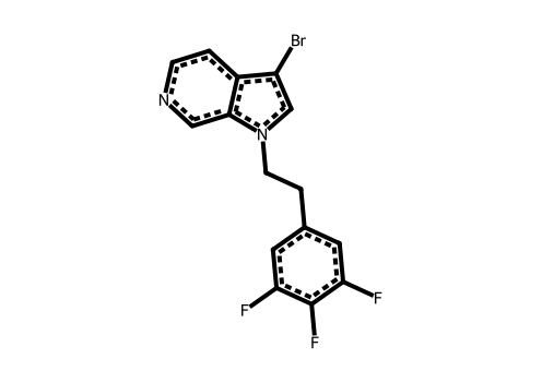 Fc1cc(CCn2cc(Br)c3ccncc32)cc(F)c1F